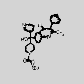 CC(C)(C)OC(=O)N1CCC(C(O)(c2cccnc2)c2ccc3nc(C(F)(F)F)c(-c4ccccc4)c(Cl)c3c2)CC1